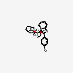 CCC(C)OC(=N)N1C2CCC1CN(Cc1c(-c3ccc(Cl)cc3)nc3ccccn13)C2